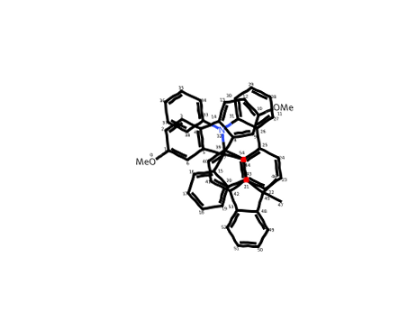 COc1ccc2c(c1)C1(c3cc(OC)ccc3-2)c2ccccc2-c2cccc(-c3ccccc3N(c3ccccc3)c3ccc4c(c3)C(C)(C)c3ccccc3-4)c21